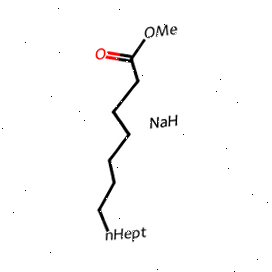 CCCCCCCCCCCCCC(=O)OC.[NaH]